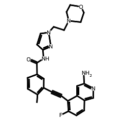 Cc1ccc(C(=O)Nc2ccn(CCN3CCOCC3)n2)cc1C#Cc1c(F)ccc2cnc(N)cc12